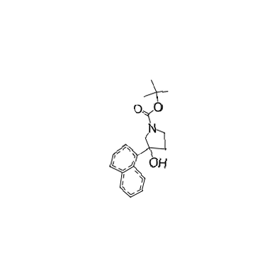 CC(C)(C)OC(=O)N1CCC(O)(c2cccc3ccccc23)C1